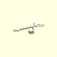 CCCCCCCCCCCCCCCCCC(=O)NCC(=O)O.[NaH].[NaH]